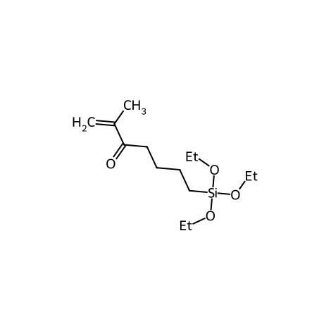 C=C(C)C(=O)CCCC[Si](OCC)(OCC)OCC